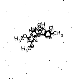 COc1cc(OC)n2nc(NS(=O)(=O)Nc3c(Cl)ccc(C)c3Cl)nc2n1